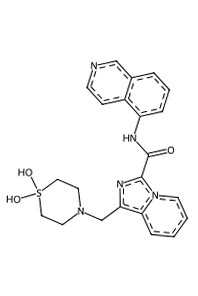 O=C(Nc1cccc2cnccc12)c1nc(CN2CCS(O)(O)CC2)c2ccccn12